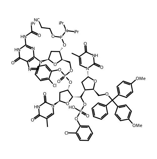 COc1ccc(C(OC[C@@H]2O[C@@H](n3cc(C)c(=O)[nH]c3=O)C[C@@H]2C(OP(=O)(O)Oc2ccccc2Cl)[C@@H]2O[C@@H](n3cc(C)c(=O)[nH]c3=O)C[C@@H]2OP(=O)(OC[C@H]2O[C@@H](n3cnc4c(=O)[nH]c(NC(=O)C(C)C)nc43)C[C@@H]2OP(OCCC#N)N(C(C)C)C(C)C)Oc2ccccc2Cl)(c2ccccc2)c2ccc(OC)cc2)cc1